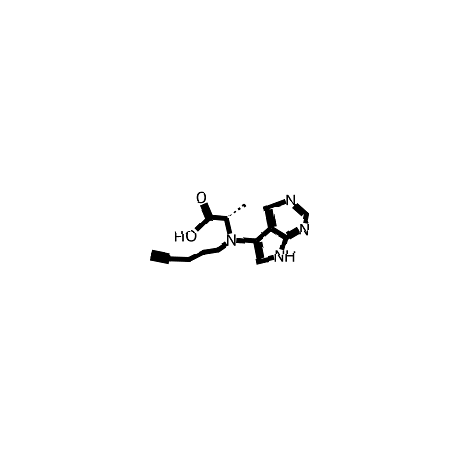 C#CCCCN(c1c[nH]c2ncncc12)[C@@H](C)C(=O)O